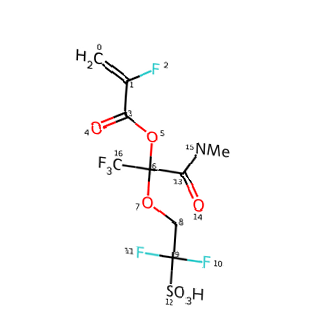 C=C(F)C(=O)OC(OCC(F)(F)S(=O)(=O)O)(C(=O)NC)C(F)(F)F